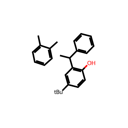 CC(c1ccccc1)c1cc(C(C)(C)C)ccc1O.Cc1ccccc1C